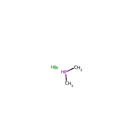 Br.CPC